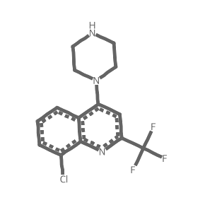 FC(F)(F)c1cc(N2CCNCC2)c2cccc(Cl)c2n1